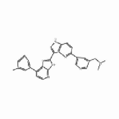 Cc1cccc(-c2ccnc3[nH]c(-c4n[nH]c5ccc(-c6cncc(CN(C)C)c6)nc45)nc23)c1